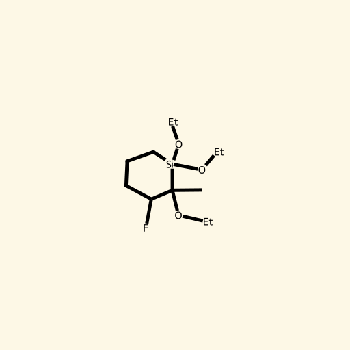 CCOC1(C)C(F)CCC[Si]1(OCC)OCC